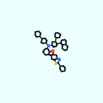 c1ccc(-c2ccc(N(c3ccc(-c4cccc5ccccc45)c(-c4ccccc4)c3)c3cccc4c3oc3cc5nc(-c6ccccc6)sc5cc34)cc2)cc1